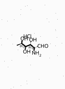 C[C@@H](O)[C@H](O)[C@H](O)[C@@H](N)C=O.Cl